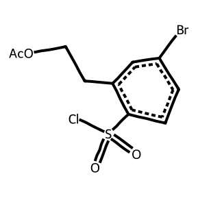 CC(=O)OCCc1cc(Br)ccc1S(=O)(=O)Cl